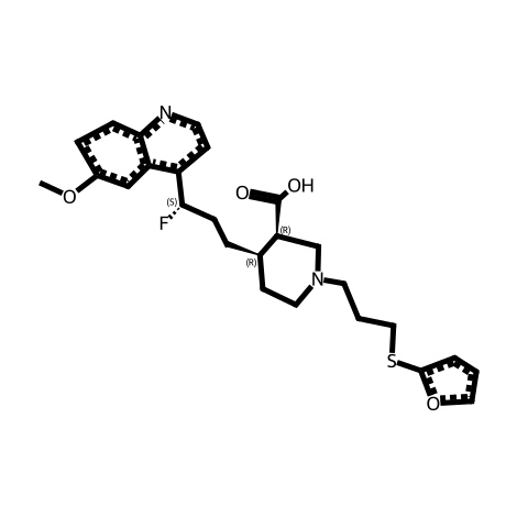 COc1ccc2nccc([C@@H](F)CC[C@@H]3CCN(CCCSc4ccco4)C[C@@H]3C(=O)O)c2c1